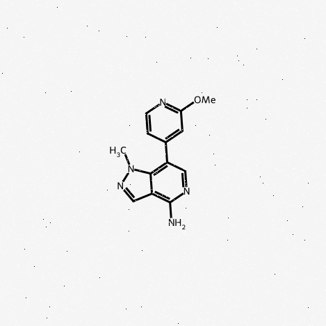 COc1cc(-c2cnc(N)c3cnn(C)c23)ccn1